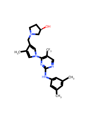 Cc1cc(C)cc(Nc2ncc(C(F)(F)F)c(-n3cc(C)c(CN4CC[C@@H](O)C4)c3)n2)c1